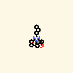 C=N/C(=N\C(=N/Cc1ccccc1)c1ccc2c(ccc3ccccc32)c1)c1cccc2oc3ccc(-c4ccccc4)cc3c12